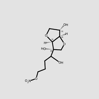 O=[N+]([O-])OCCCC(O)[C@]1(O)CO[C@@H]2[C@@H](O)CO[C@@H]21